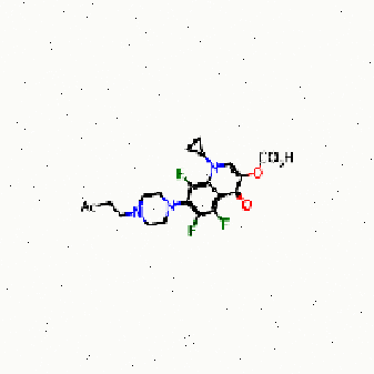 CC(=O)CCN1CCN(c2c(F)c(F)c3c(=O)c(OC(=O)O)cn(C4CC4)c3c2F)CC1